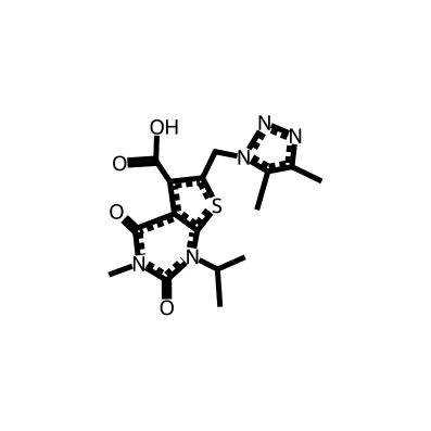 Cc1nnn(Cc2sc3c(c2C(=O)O)c(=O)n(C)c(=O)n3C(C)C)c1C